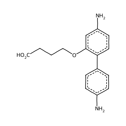 Nc1ccc(-c2ccc(N)cc2OCCCC(=O)O)cc1